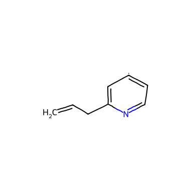 C=CCc1c[c]ccn1